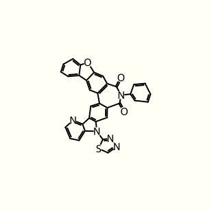 O=c1c2cc3oc4ccccc4c3cc2c2cc3c4ncccc4n(-c4nncs4)c3cc2c(=O)n1-c1ccccc1